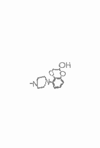 CN1CCN(c2cccc3c2OCC(O)O3)CC1